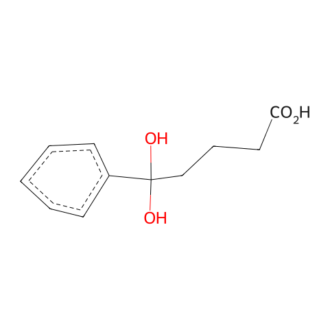 O=C(O)CCCC(O)(O)c1ccccc1